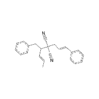 C/C=C/C(Cc1ccccc1)C(C#N)(C#N)CC=Cc1ccccc1